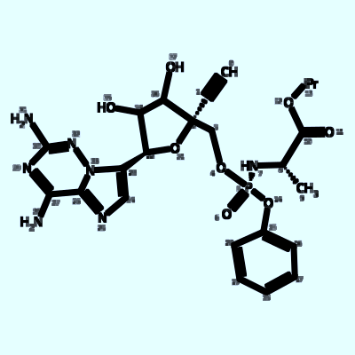 C#C[C@]1(CO[P@@](=O)(N[C@@H](C)C(=O)OC(C)C)Oc2ccccc2)O[C@@H](c2cnc3c(N)nc(N)nn23)C(O)C1O